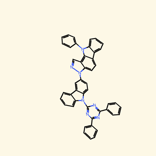 c1ccc(-c2nc(-c3ccccc3)nc(-n3c4ccccc4c4cc(-n5ncc6c5ccc5c7ccccc7n(-c7ccccc7)c56)ccc43)n2)cc1